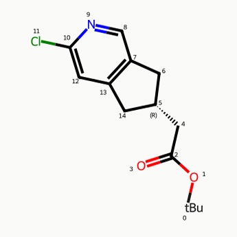 CC(C)(C)OC(=O)C[C@H]1Cc2cnc(Cl)cc2C1